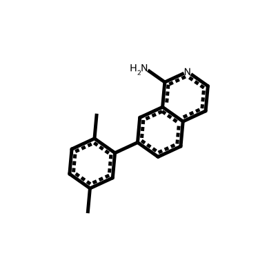 Cc1ccc(C)c(-c2ccc3ccnc(N)c3c2)c1